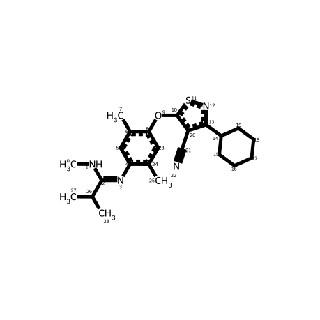 CNC(=Nc1cc(C)c(Oc2snc(C3CCCCC3)c2C#N)cc1C)C(C)C